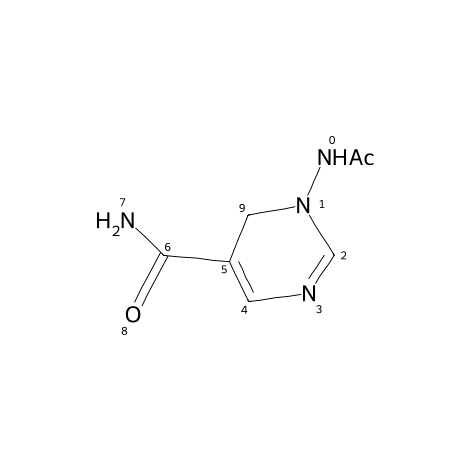 CC(=O)NN1C=NC=C(C(N)=O)C1